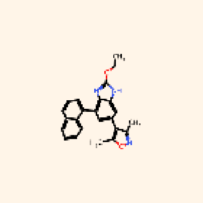 CCOc1nc2c(-c3cccc4ccccc34)cc(-c3c(C)noc3C)cc2[nH]1